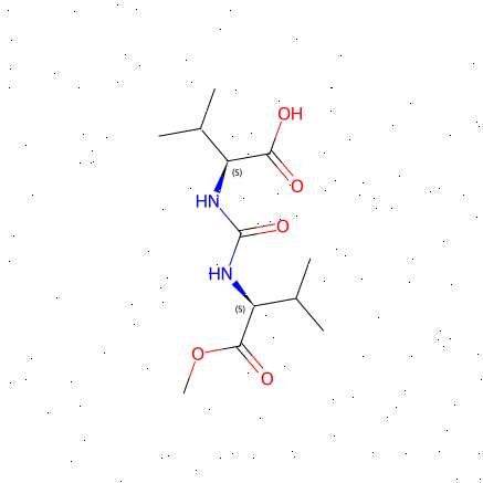 COC(=O)[C@@H](NC(=O)N[C@H](C(=O)O)C(C)C)C(C)C